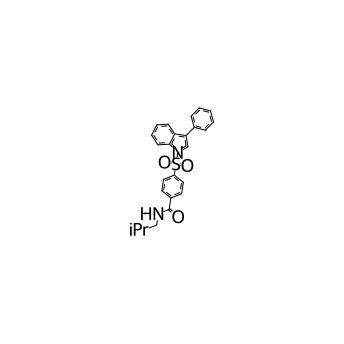 CC(C)CNC(=O)c1ccc(S(=O)(=O)n2cc(-c3ccccc3)c3ccccc32)cc1